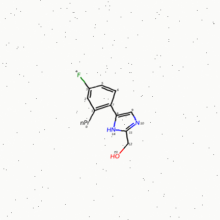 CCCc1cc(F)ccc1-c1cnc(CO)[nH]1